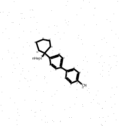 CCCCCCCC1(c2ccc(-c3ccc(C#N)cc3)cc2)CCCCC1